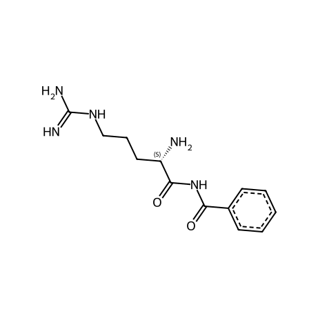 N=C(N)NCCC[C@H](N)C(=O)NC(=O)c1ccccc1